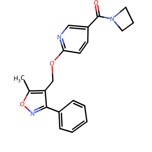 Cc1onc(-c2ccccc2)c1COc1ccc(C(=O)N2CCC2)cn1